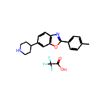 Cc1ccc(-c2nc3ccc(C4CCNCC4)cc3o2)cc1.O=C(O)C(F)(F)F